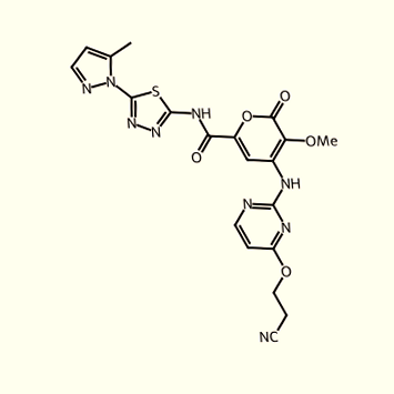 COc1c(Nc2nccc(OCCC#N)n2)cc(C(=O)Nc2nnc(-n3nccc3C)s2)oc1=O